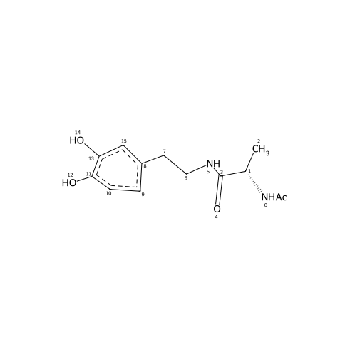 CC(=O)N[C@@H](C)C(=O)NCCc1ccc(O)c(O)c1